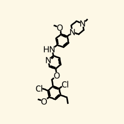 CCc1cc(OC)c(Cl)c(COc2ccc(Nc3ccc(N4CCN(C)CC4)c(OC)c3)nc2)c1Cl